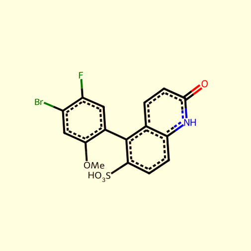 COc1cc(Br)c(F)cc1-c1c(S(=O)(=O)O)ccc2[nH]c(=O)ccc12